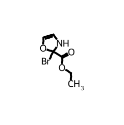 CCOC(=O)C1(Br)NC=CO1